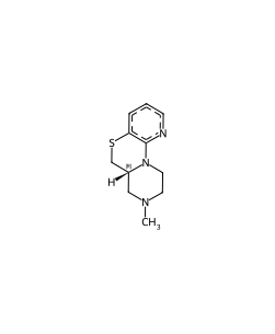 CN1CCN2c3ncccc3SC[C@H]2C1